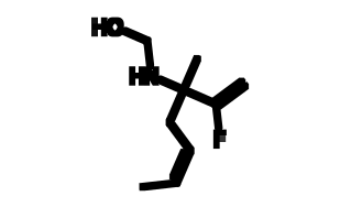 C=C(F)C(C)(C/C=C\C)NCO